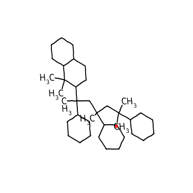 CC(C)(CC(C)(CC(C)(C1CCCCC1)C1CCC2CCCCC2C1(C)C)C1CCCCC1)C1CCCCC1